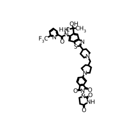 CC(C)(O)c1cc2nc(C3CCN(CC4CCN(c5ccc6c(c5)C(=O)N(N5CCC(=O)NC5=O)C6=O)CC4)CC3)sc2cc1NC(=O)c1cccc(C(F)(F)F)n1